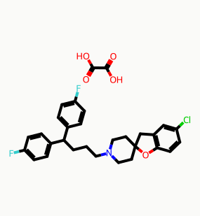 Fc1ccc(C(CCCN2CCC3(CC2)Cc2cc(Cl)ccc2O3)c2ccc(F)cc2)cc1.O=C(O)C(=O)O